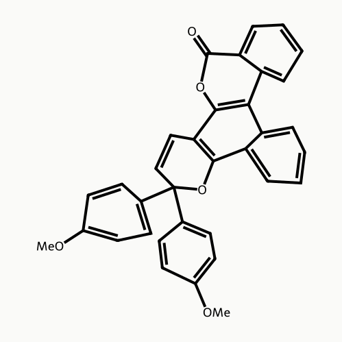 COc1ccc(C2(c3ccc(OC)cc3)C=Cc3c(c4ccccc4c4c3oc(=O)c3ccccc34)O2)cc1